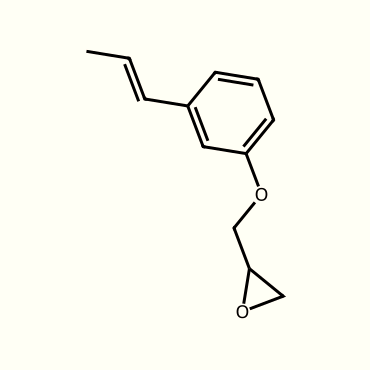 CC=Cc1cccc(OCC2CO2)c1